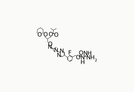 CC(C)C(=O)OCC(CON=C1CN(c2ncc(-c3cccc(COC(=O)NC(=N)N)c3F)cn2)C1)COC1CCCCO1